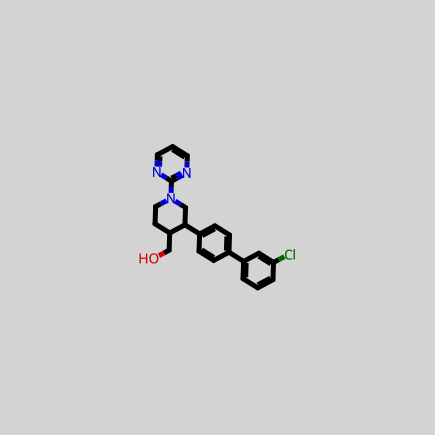 OCC1CCN(c2ncccn2)CC1c1ccc(-c2cccc(Cl)c2)cc1